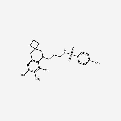 Cc1ccc(S(=O)(=O)NCCCN2CC3(CCC3)Cc3cc(O)c(C)c(C)c32)cc1